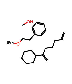 C=CCCCC(=C)C1CCCCC1.CC(C)OCCc1ccccc1.CO